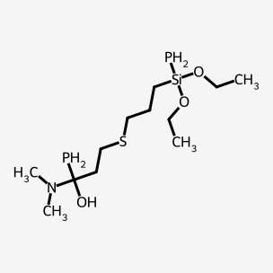 CCO[Si](P)(CCCSCCC(O)(P)N(C)C)OCC